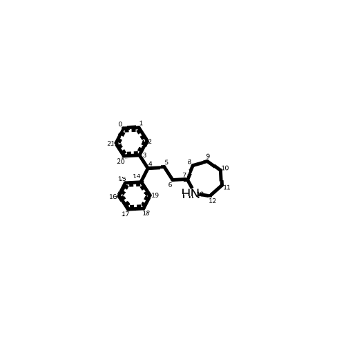 c1ccc(C(CCC2CCCCCN2)c2ccccc2)cc1